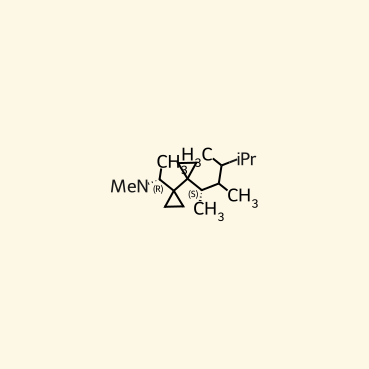 CN[C@H](C)C1(C2([C@@H](C)C(C)C(C)C(C)C)CC2)CC1